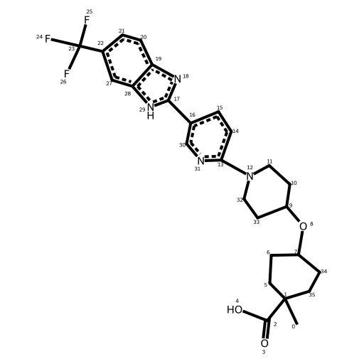 CC1(C(=O)O)CCC(OC2CCN(c3ccc(-c4nc5ccc(C(F)(F)F)cc5[nH]4)cn3)CC2)CC1